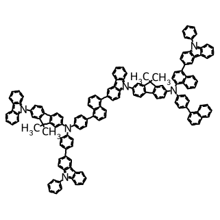 CC1(C)c2cc(N(c3ccc(-c4ccc5c(c4)c4ccccc4n5-c4ccccc4)cc3)c3ccc(-c4cccc5c(-c6ccc7c(c6)c6ccccc6n7-c6ccc7c(c6)C(C)(C)c6cc(N(c8ccc(-c9cccc%10ccccc9%10)cc8)c8ccc(-c9ccc%10c(c9)c9ccccc9n%10-c9ccccc9)c9ccccc89)ccc6-7)cccc45)cc3)ccc2-c2ccc(-n3c4ccccc4c4ccccc43)cc21